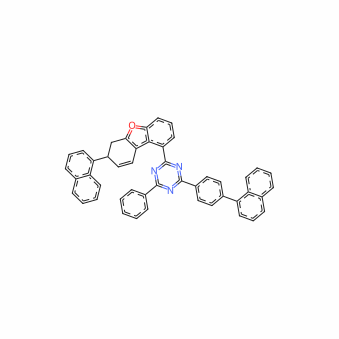 C1=CC(c2cccc3ccccc23)Cc2oc3cccc(-c4nc(-c5ccccc5)nc(-c5ccc(-c6cccc7ccccc67)cc5)n4)c3c21